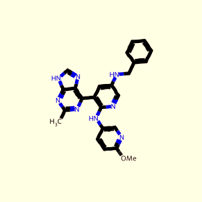 COc1ccc(Nc2ncc(NCc3ccccc3)cc2-c2nc(C)nc3[nH]cnc23)cn1